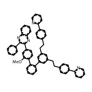 COc1cc(-c2nc3ccccc3nc2-c2ccccc2)ccc1-c1ccccc1-c1cc(CCc2ccc(-c3ccccn3)cc2)cc(CCc2ccc(-c3ccccn3)cc2)c1